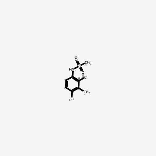 Cc1c(Cl)ccc(NS(C)(=O)=O)c1Cl